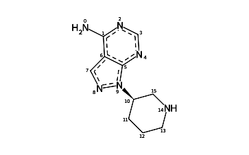 Nc1ncnc2c1cnn2[C@@H]1CCCNC1